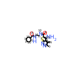 Cc1nnc2sc(C(=O)N(C)CCNC(=O)C3CCCCC3)c(N)c2c1C